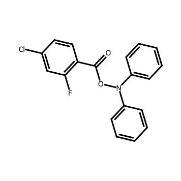 O=C(ON(c1ccccc1)c1ccccc1)c1ccc(Cl)cc1F